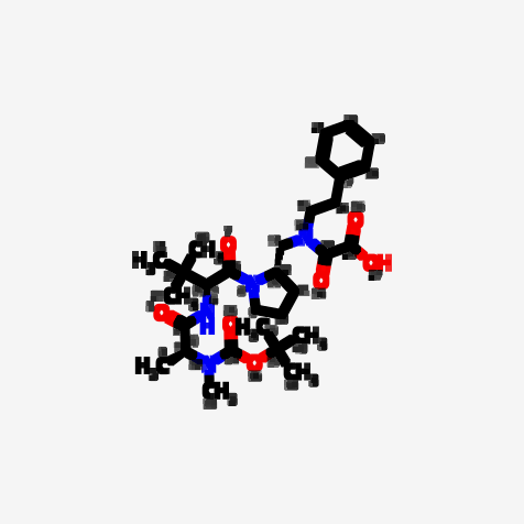 C[C@@H](C(=O)N[C@H](C(=O)N1CCC[C@H]1CN(CCc1ccccc1)C(=O)C(=O)O)C(C)(C)C)N(C)C(=O)OC(C)(C)C